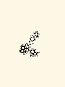 Cc1c[nH]c2cc(C(=O)N(CC(=O)NCC3CCN(C4CCCC4)CC3)c3cccc4cccnc34)ccc12